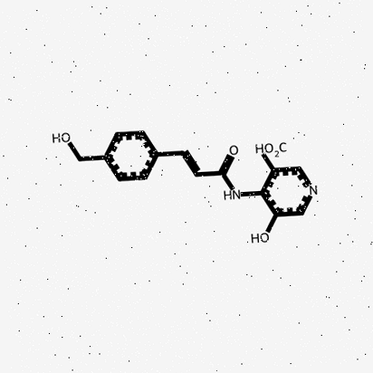 O=C(/C=C/c1ccc(CO)cc1)Nc1c(O)cncc1C(=O)O